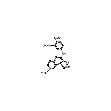 COc1ccc2nc(Nc3ccc(OC)c(NC(C)=O)c3)c3n[nH]cc3c2c1